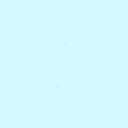 O=c1[nH]c2ccccc2c(=O)n1CCCCN1CCN(c2cccc(Cl)c2Cl)CC1